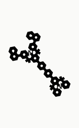 CC1(C)c2ccccc2N2c3ccccc3C(C)(C)c3cc(-c4ccc(-c5ccc(-c6cc7c8c(c6)C(C)(C)c6cc(-c9cccc%10ccccc9%10)ccc6N8c6ccc(-c8cccc9ccccc89)cc6C7(C)C)cc5)cc4)cc1c32